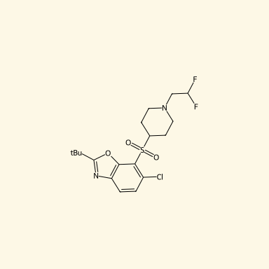 CC(C)(C)c1nc2ccc(Cl)c(S(=O)(=O)C3CCN(CC(F)F)CC3)c2o1